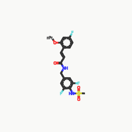 CCCOc1cc(F)ccc1C=CC(=O)NCc1cc(F)c(NS(C)(=O)=O)c(F)c1